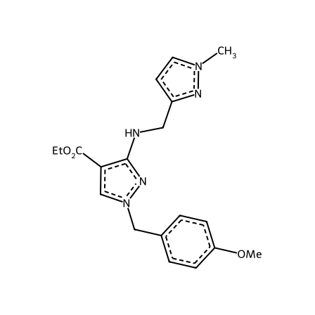 CCOC(=O)c1cn(Cc2ccc(OC)cc2)nc1NCc1ccn(C)n1